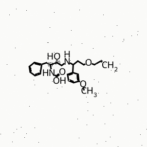 C=CCOCCC(NC[C@@H](O)[C@H](Cc1ccccc1)NC(=O)O)c1cccc(OC)c1